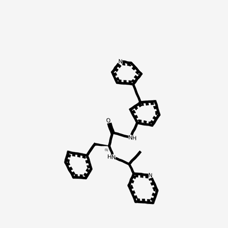 CC(N[C@@H](Cc1ccccc1)C(=O)Nc1cccc(-c2ccncc2)c1)c1ccccn1